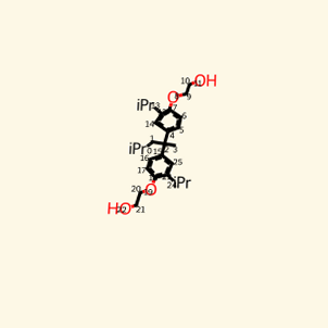 CC(C)CC(C)(c1ccc(OCCO)c(C(C)C)c1)c1ccc(OCCO)c(C(C)C)c1